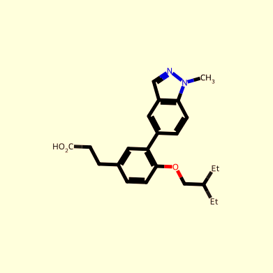 CCC(CC)COc1ccc(CCC(=O)O)cc1-c1ccc2c(cnn2C)c1